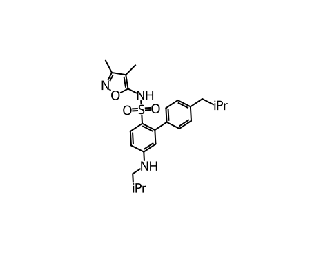 Cc1noc(NS(=O)(=O)c2ccc(NCC(C)C)cc2-c2ccc(CC(C)C)cc2)c1C